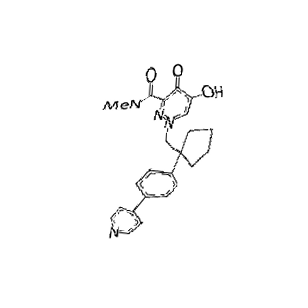 CNC(=O)c1nn(CC2(c3ccc(-c4ccncc4)cc3)CCCC2)cc(O)c1=O